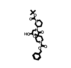 CC(C)(C)OC(=O)N1CCC[C@H](N(CC(=O)O)C(=O)C2(C)CCN(C(=O)OCc3ccccc3)CC2)C1